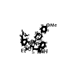 CCOc1ccc(CN(C)C)cc1NC(=O)[C@H](NC(=O)N1CCN(c2ccc(OC)cc2)CC1)[C@@H](C)c1c[nH]c2ccccc12